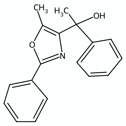 Cc1oc(-c2ccccc2)nc1C(C)(O)c1ccccc1